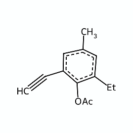 C#Cc1cc(C)cc(CC)c1OC(C)=O